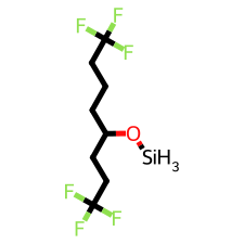 FC(F)(F)CCCC(CCC(F)(F)F)O[SiH3]